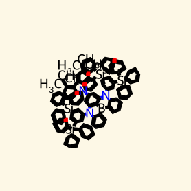 CC(C)(C)c1ccc2c(c1)c1c(C(C)(C)C)cccc1n2-c1cc2c3c(c1)N(c1cc([Si](c4ccccc4)(c4ccccc4)c4ccccc4)cc([Si](c4ccccc4)(c4ccccc4)c4ccccc4)c1)c1ccccc1B3c1ccccc1N2c1cc([Si](c2ccccc2)(c2ccccc2)c2ccccc2)cc([Si](c2ccccc2)(c2ccccc2)c2ccccc2)c1